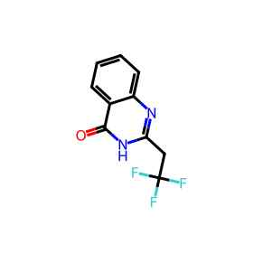 O=c1[nH]c(CC(F)(F)F)nc2ccccc12